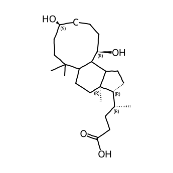 C[C@H](CCC(=O)O)[C@H]1CCC2C3C(CC[C@@]21C)C(C)(C)CC[C@@H](O)CCC[C@H]3O